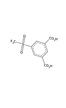 O=C(O)c1cc(C(=O)O)cc(S(=O)(=O)C(F)(F)F)c1